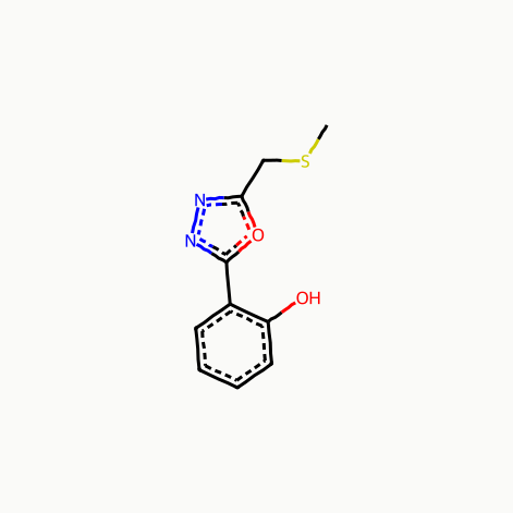 CSCc1nnc(-c2ccccc2O)o1